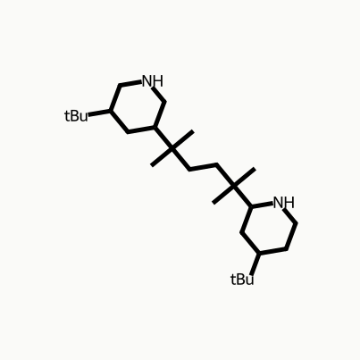 CC(C)(C)C1CNCC(C(C)(C)CCC(C)(C)C2CC(C(C)(C)C)CCN2)C1